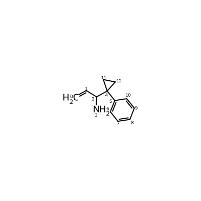 C=CC(N)C1(c2ccccc2)CC1